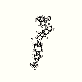 CCc1cc(Nc2ncc(Br)c(Nc3ccc4nccnc4c3P(C)(C)=O)n2)c(OC)cc1N1CCC(N2CCN(CCS(C)(=O)=O)CC2)CC1